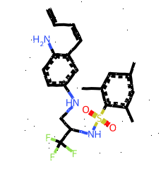 C=C/C=C\c1cc(NCC(NS(=O)(=O)c2c(C)cc(C)cc2C)C(F)(F)F)ccc1N